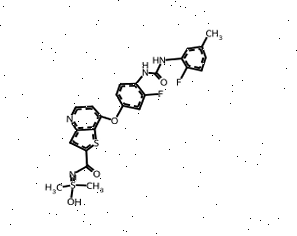 Cc1ccc(F)c(NC(=O)Nc2ccc(Oc3ccnc4cc(C(=O)N=[SH](C)(C)O)sc34)cc2F)c1